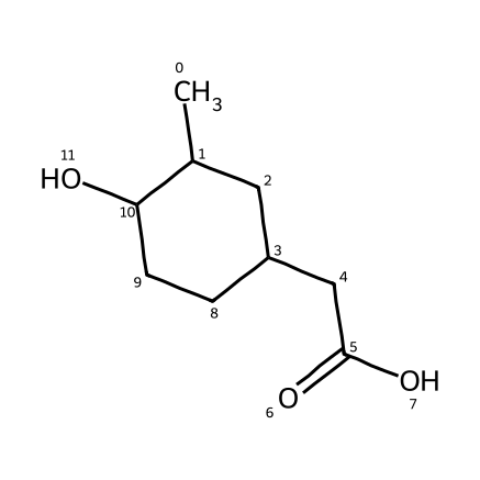 CC1CC(CC(=O)O)CCC1O